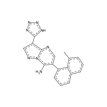 Cc1cccc2cccc(-c3cnc4c(-c5nnn[nH]5)cnn4c3N)c12